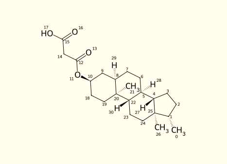 C[C@H]1CC[C@H]2[C@@H]3CC[C@@H]4C[C@H](OC(=O)CC(=O)O)CC[C@]4(C)[C@H]3CC[C@]12C